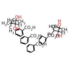 CCC(C)(C)C(O)(CC)C(C)(C)O.CCC(O)(C(C)C(C)C)C(C)(C)O.O=C(O)c1ccccc1.O=C(O)c1ccccc1.O=C(O)c1ccccc1.O=C(O)c1ccccc1